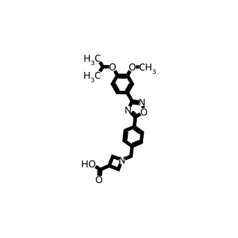 COc1cc(-c2noc(-c3ccc(CN4CC(C(=O)O)C4)cc3)n2)ccc1OC(C)C